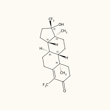 C[C@]12CCC(=O)C(C(F)(F)F)=C1CC[C@@H]1[C@@H]2CC[C@@]2(C)[C@H]1CC[C@@]2(O)C(F)(F)F